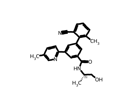 Cc1ccc(-c2cc(C(=O)N[C@@H](C)CO)cc(-c3c(C)cccc3C#N)c2)nc1